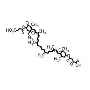 CC(C=CC=C(C)C=CC1=C(C)CC(OC(=O)CC(=O)C(O)=S)CC1(C)C)=CC=CC=C(C)C=CC=C(C)C=CC1=C(C)C(=O)C(OC(=S)CCC(=O)O)CC1(C)C